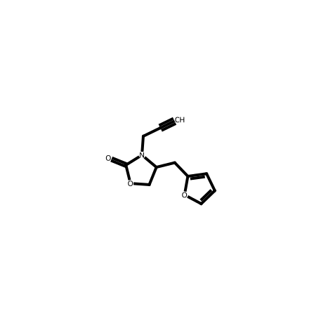 C#CCN1C(=O)OCC1Cc1ccco1